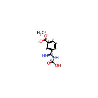 COC(=O)c1cccc(C(=N)NC(=O)O)c1